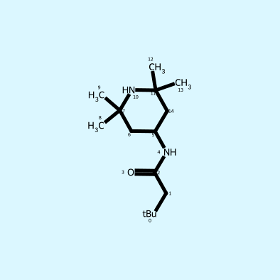 CC(C)(C)CC(=O)NC1CC(C)(C)NC(C)(C)C1